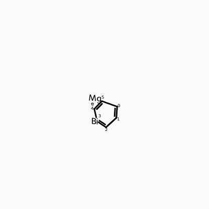 C1=C[CH]=[Bi][CH]=C1.[Mg]